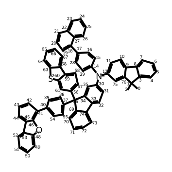 CC1(C)c2ccccc2-c2ccc(N(c3ccc(-c4cccc5ccccc45)cc3)c3ccc4c(c3)C(c3ccc(-c5cccc6c5oc5ccccc56)cc3)(c3ccc5c(c3)sc3ccccc35)c3ccccc3-4)cc21